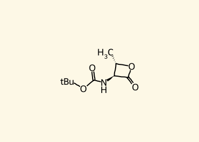 C[C@@H]1OC(=O)[C@H]1NC(=O)OC(C)(C)C